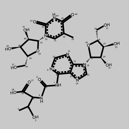 CC(O)C(NC(=O)Nc1ncnc2c1ncn2[C@@H]1O[C@H](CO)[C@@H](O)[C@H]1O)C(=O)O.Cc1cn([C@@H]2O[C@H](CO)[C@@H](O)[C@H]2O)c(=O)[nH]c1=O